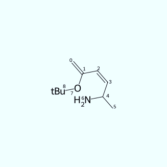 C=C(/C=C\C(C)N)OC(C)(C)C